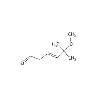 COC(C)(C)C=CCC=O